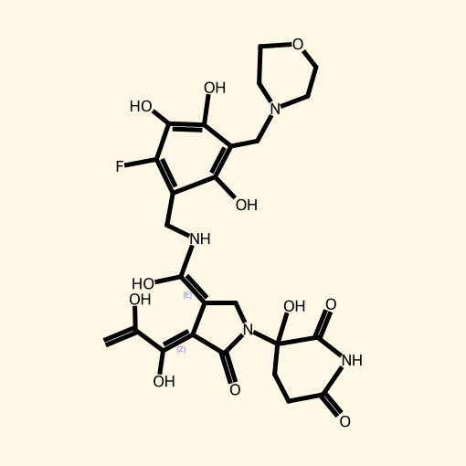 C=C(O)/C(O)=C1/C(=O)N(C2(O)CCC(=O)NC2=O)C/C1=C(/O)NCc1c(O)c(CN2CCOCC2)c(O)c(O)c1F